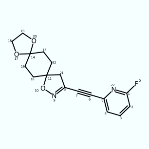 Fc1cccc(C#CC2=NOC3(CCC4(CC3)OCCO4)C2)n1